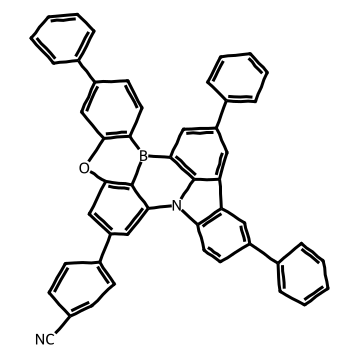 N#Cc1ccc(-c2cc3c4c(c2)-n2c5ccc(-c6ccccc6)cc5c5cc(-c6ccccc6)cc(c52)B4c2ccc(-c4ccccc4)cc2O3)cc1